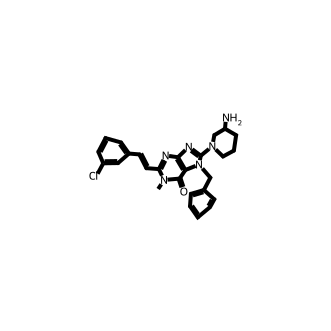 Cn1c(C=Cc2cccc(Cl)c2)nc2nc(N3CCCC(N)C3)n(Cc3ccccc3)c2c1=O